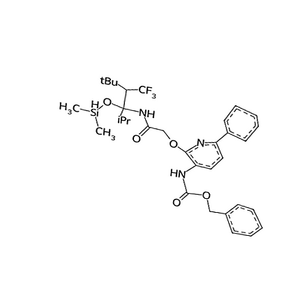 CC(C)C(NC(=O)COc1nc(-c2ccccc2)ccc1NC(=O)OCc1ccccc1)(O[SiH](C)C)C(C(C)(C)C)C(F)(F)F